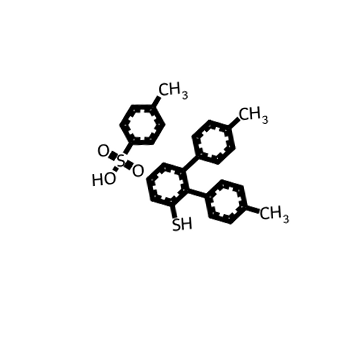 Cc1ccc(-c2cccc(S)c2-c2ccc(C)cc2)cc1.Cc1ccc(S(=O)(=O)O)cc1